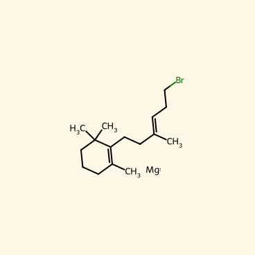 CC(=CCCBr)CCC1=C(C)CCCC1(C)C.[Mg]